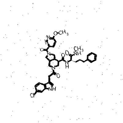 CNC(=O)[C@H](CCCc1ccccc1)NC(=O)C1CN(C(=O)Cc2c[nH]c3cc(Cl)ccc23)CC2CN(C(=O)c3ccc(OC)nn3)CC21